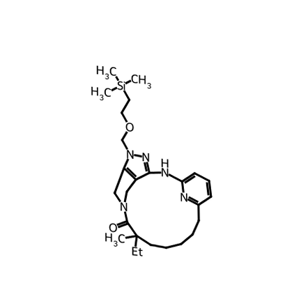 CCC1(C)CCCCCc2cccc(n2)Nc2nn(COCC[Si](C)(C)C)c3c2CN(C3)C1=O